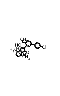 CCc1ccc(-c2ccc(Cl)cc2)cc1C1=C(O)[C@H]2[C@@H](C1=O)[C@]1(C)C=C[C@@]2(C)O1